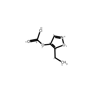 CCc1oncc1OC(=O)Cl